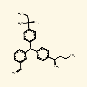 C=Cc1cccc(N(c2ccc(C(C)CCC)cc2)c2ccc(C(C)(C)CC)cc2)c1